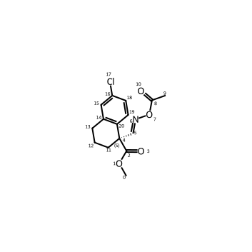 COC(=O)[C@@]1(C=NOC(C)=O)CCCc2cc(Cl)ccc21